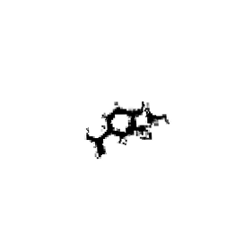 C=C(C)c1ccc2nc(C)sc2c1